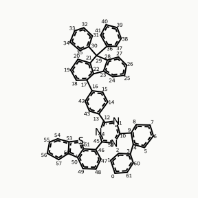 c1ccc(-c2ccccc2-c2nc(-c3ccc(-c4cccc5c4-c4ccccc4C5(c4ccccc4)c4ccccc4)cc3)nc(-c3cccc4c3sc3ccccc34)n2)cc1